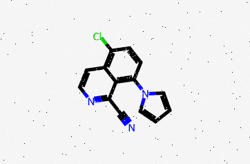 N#Cc1nccc2c(Cl)ccc(-n3cccc3)c12